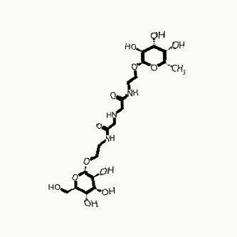 C[C@@H]1O[C@@H](OCCNC(=O)CNCC(=O)NCCO[C@H]2O[C@H](CO)[C@@H](O)[C@H](O)[C@@H]2O)[C@@H](O)[C@H](O)[C@@H]1O